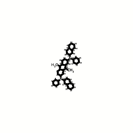 Cc1c2ccc(N(c3ccccc3)c3ccc4ccccc4c3)cc2c(C)c2cc(N(c3ccccc3)c3ccc4ccccc4c3)ccc12